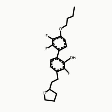 CCCCOc1ccc(-c2ccc(CCC3CCCO3)c(F)c2O)c(F)c1F